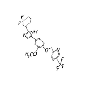 COc1cc(-c2cnc(C3CCCC(F)(F)C3)[nH]2)ccc1OCc1ccc(C(F)(F)F)cn1